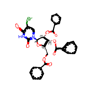 O=C(OC[C@H]1O[C@@H](n2cc(Br)c(=O)[nH]c2=O)[C@H](OC(=O)c2ccccc2)[C@@H]1OC(=O)c1ccccc1)c1ccccc1